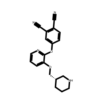 N#Cc1ccc(Oc2ncccc2OC[C@H]2CCCNC2)cc1C#N